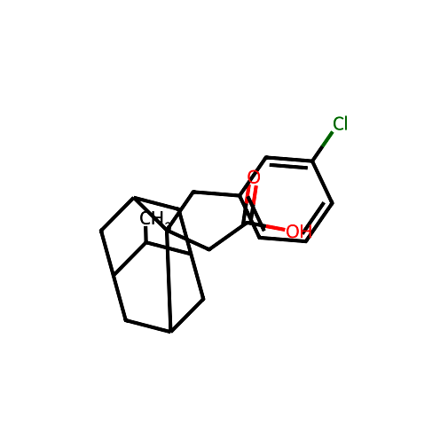 CC1C2CC3CC1CC(C2)C3(CC(=O)O)Cc1cccc(Cl)c1